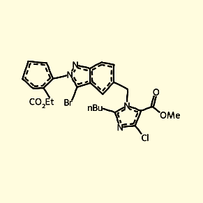 CCCCc1nc(Cl)c(C(=O)OC)n1Cc1ccc2nn(-c3ccccc3C(=O)OCC)c(Br)c2c1